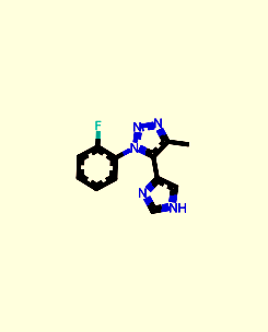 Cc1nnn(-c2ccccc2F)c1-c1c[nH]cn1